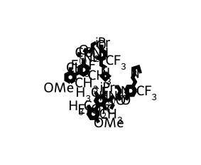 CCOC(=O)C[C@H](NC(=O)C(CC(C)C)n1cc(CCN2CCC2)c(C(F)(F)F)cc1=O)c1c(F)c(C)cc(-c2c(C)ccc(OC)c2C)c1F.COc1ccc(C)c(-c2cc(C)c(F)c([C@H](CC(=O)O)NC(=O)C(CC(C)C)n3cc(CCN4CCC4)c(C(F)(F)F)cc3=O)c2F)c1C